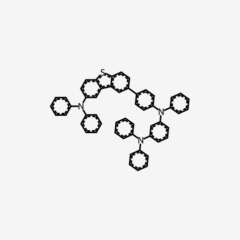 c1ccc(N(c2ccccc2)c2cccc(N(c3ccccc3)c3ccc(-c4ccc5sc6ccc(N(c7ccccc7)c7ccccc7)cc6c5c4)cc3)c2)cc1